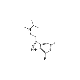 CC(C)N(C)CCc1n[nH]c2c(F)cc(F)cc12